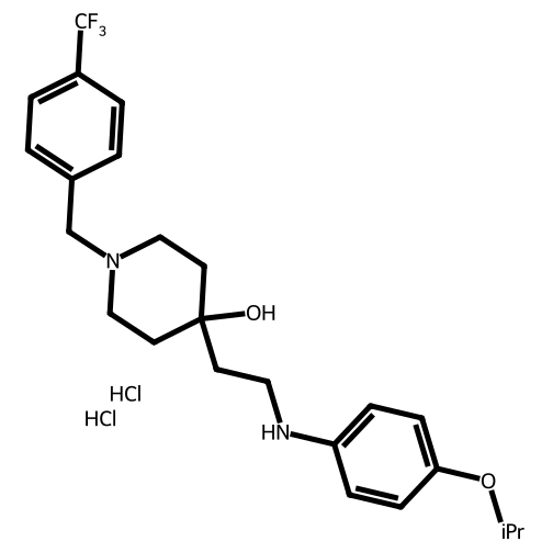 CC(C)Oc1ccc(NCCC2(O)CCN(Cc3ccc(C(F)(F)F)cc3)CC2)cc1.Cl.Cl